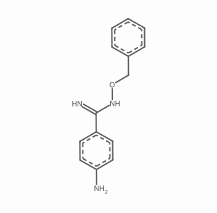 N=C(NOCc1ccccc1)c1ccc(N)cc1